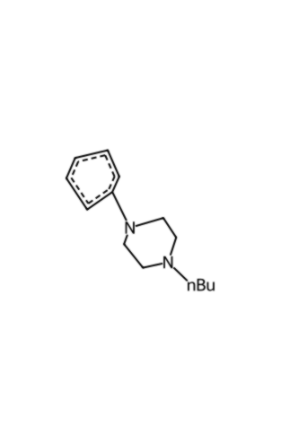 [CH2]CCCN1CCN(c2ccccc2)CC1